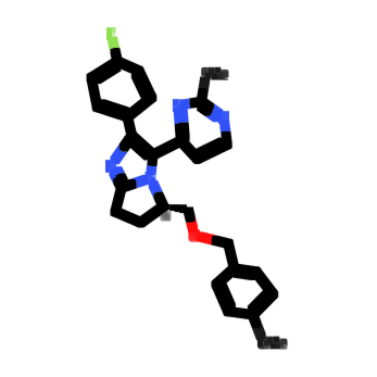 COc1ccc(COC[C@@H]2CCc3nc(-c4ccc(F)cc4)c(-c4ccnc(SC)n4)n32)cc1